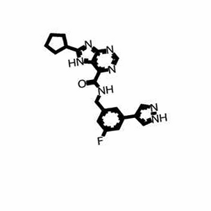 O=C(NCc1cc(F)cc(-c2cn[nH]c2)c1)c1ncnc2nc(C3CCCC3)[nH]c12